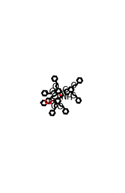 O=C(N[C@H]1Cc2c(OCc3ccccc3)cc(OCc3ccccc3)cc2O[C@H]1c1cc(OCc2ccccc2)c(OCc2ccccc2)c(OCc2ccccc2)c1)c1cc(OCc2ccccc2)c(OCc2ccccc2)c(OCc2ccccc2)c1